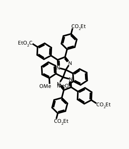 CCOC(=O)c1ccc(C2=NC(c3ccccc3OC)(C3(c4ccccc4OC)N=C(c4ccc(C(=O)OCC)cc4)C(c4ccc(C(=O)OCC)cc4)=N3)N=C2c2ccc(C(=O)OCC)cc2)cc1